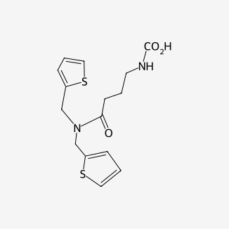 O=C(O)NCCCC(=O)N(Cc1cccs1)Cc1cccs1